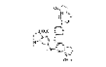 CCCCCC[N+]1=c2cc3c(cc2CCC1)=C(c1ccc(C(=O)ON2C(=O)CCC2=O)cc1C(=O)O)c1cc2c(cc1C3(C)C)N(C)CCC2